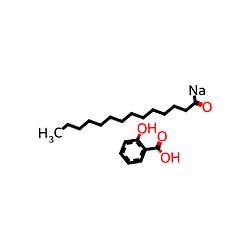 CCCCCCCCCCCCC[C](=O)[Na].O=C(O)c1ccccc1O